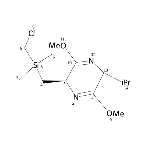 COC1=N[C@@H](C[Si](C)(C)CCl)C(OC)=NC1C(C)C